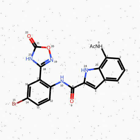 CC(=O)Nc1cccc2cc(C(=O)Nc3ccc(Br)cc3-c3noc(=O)[nH]3)[nH]c12